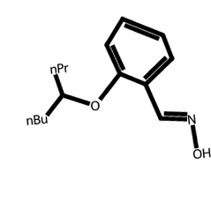 CCCCC(CCC)Oc1ccccc1C=NO